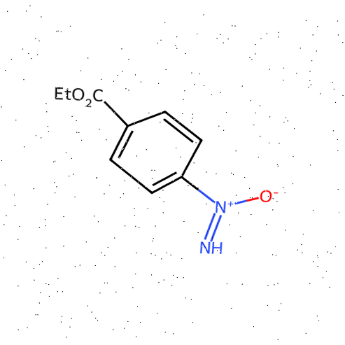 CCOC(=O)c1ccc([N+](=N)[O-])cc1